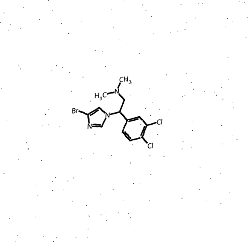 CN(C)CC(c1ccc(Cl)c(Cl)c1)n1cnc(Br)c1